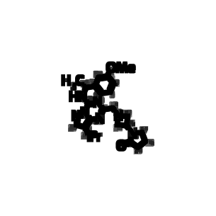 COc1cccc([C@H](C)Nc2nc(CN3CC(N4CCCC4=O)C3)nc3c(C(C)C)cnn23)c1